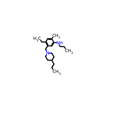 CCCNc1cc(CN2CCC(CCC)CC2)c(CC)cc1C